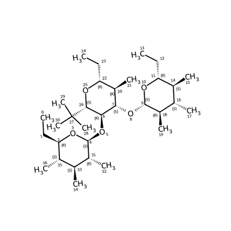 CC[C@H]1O[C@@H](O[C@@H]2[C@@H](O[C@@H]3O[C@H](CC)[C@@H](C)[C@H](C)[C@H]3C)[C@H](C)[C@@H](CC)O[C@H]2C(C)(C)C)[C@H](C)[C@@H](C)[C@@H]1C